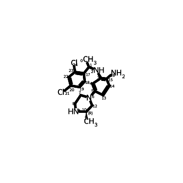 CC(Nc1cc(N2CCN[C@H](C)C2)ccc1N)c1ccc(Cl)cc1Cl